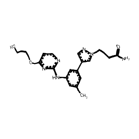 Cc1cc(Nc2nccc(OCCO)n2)cc(-c2cnn(CCC(N)=O)c2)c1